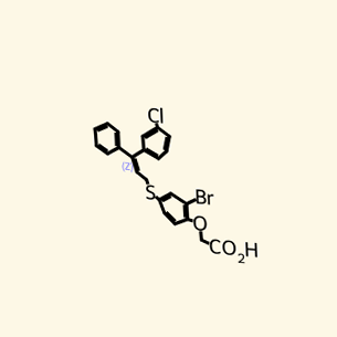 O=C(O)COc1ccc(SC/C=C(/c2ccccc2)c2cccc(Cl)c2)cc1Br